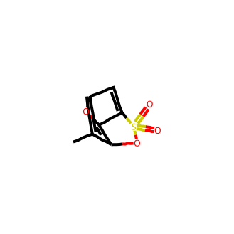 Cc1c2c3oc1cc3S(=O)(=O)O2